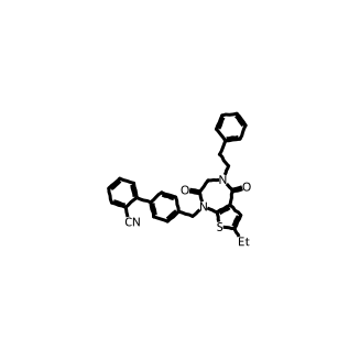 CCc1cc2c(s1)N(Cc1ccc(-c3ccccc3C#N)cc1)C(=O)CN(CCc1ccccc1)C2=O